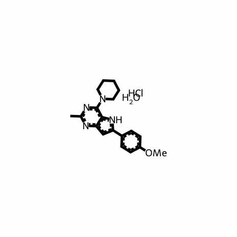 COc1ccc(-c2cc3nc(C)nc(N4CCCCC4)c3[nH]2)cc1.Cl.O